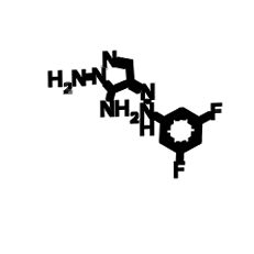 NC1C(=NNc2cc(F)cc(F)c2)C=NN1N